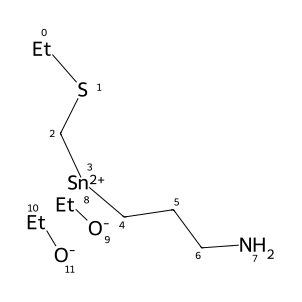 CCS[CH2][Sn+2][CH2]CCN.CC[O-].CC[O-]